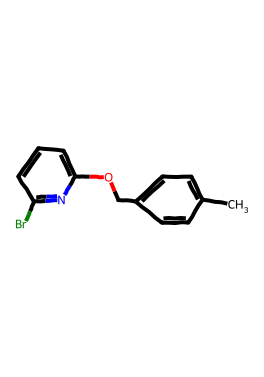 Cc1ccc(COc2cccc(Br)n2)cc1